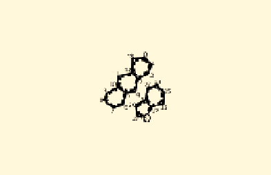 c1ccc2cc3ccccc3cc2c1.c1ccc2occc2c1